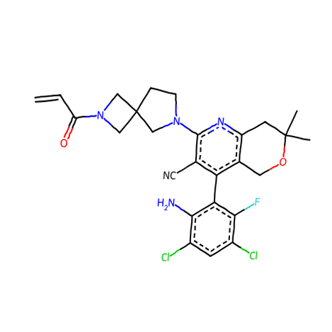 C=CC(=O)N1CC2(CCN(c3nc4c(c(-c5c(N)c(Cl)cc(Cl)c5F)c3C#N)COC(C)(C)C4)C2)C1